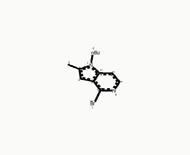 CCCCn1c(C)cc2c(Br)nccc21